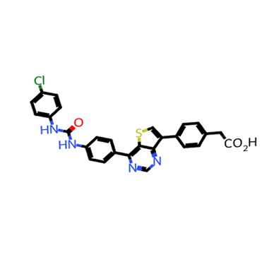 O=C(O)Cc1ccc(-c2csc3c(-c4ccc(NC(=O)Nc5ccc(Cl)cc5)cc4)ncnc23)cc1